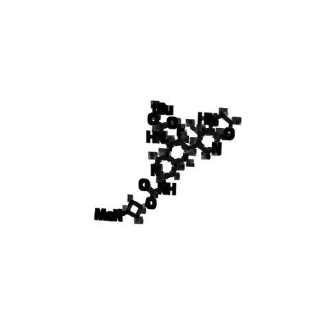 CN[C@H]1C[C@H](OC(=O)Nc2cc3cc(-c4cnc5c(c4C)NCCO5)c(F)c(NC(=O)OC(C)(C)C)c3cn2)C1